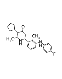 Cc1c(Nc2ccc(F)cc2)cccc1C1CC(=O)C(C2CCCC2)C(C)N1